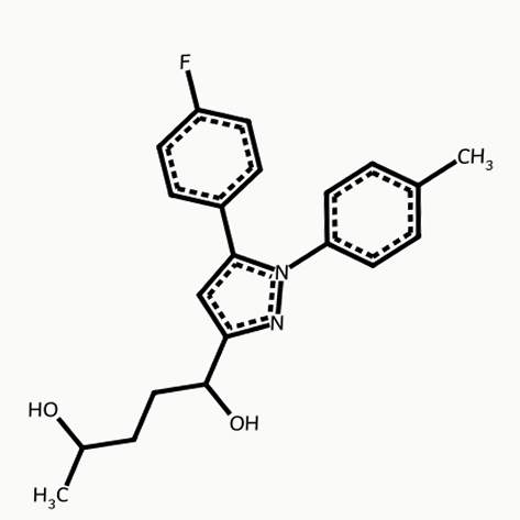 Cc1ccc(-n2nc(C(O)CCC(C)O)cc2-c2ccc(F)cc2)cc1